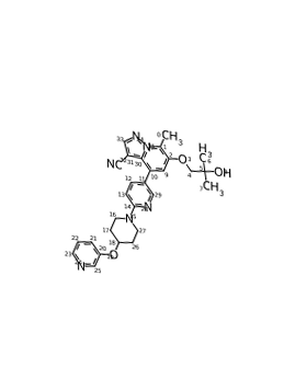 Cc1c(OCC(C)(C)O)cc(-c2ccc(N3CCC(Oc4cccnc4)CC3)nc2)c2c(C#N)cnn12